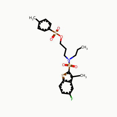 CCCN(CCCOS(=O)(=O)c1ccc(C)cc1)S(=O)(=O)c1sc2ccc(F)cc2c1C